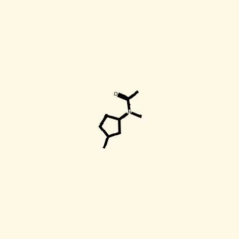 CC(=O)N(C)C1CCC(C)C1